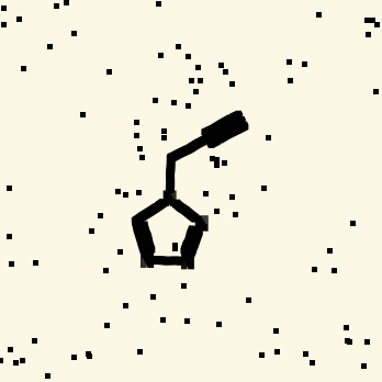 C#CCn1cnnn1